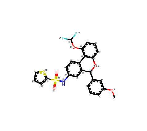 COc1cccc(C2Oc3cccc(OC(F)F)c3-c3ccc(NS(=O)(=O)c4cccs4)cc32)c1